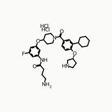 Cl.Cl.NCCCC(=O)Nc1cc(F)cc(OC2CCN(C(=O)c3ccc(O[C@H]4CCNC4)c(C4CCCCC4)c3)CC2)c1